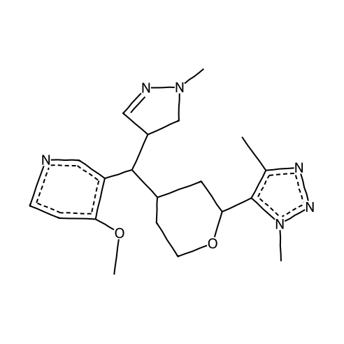 COc1ccncc1C(C1C=NN(C)C1)C1CCOC(c2c(C)nnn2C)C1